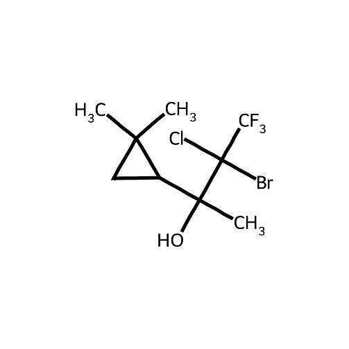 CC1(C)CC1C(C)(O)C(Cl)(Br)C(F)(F)F